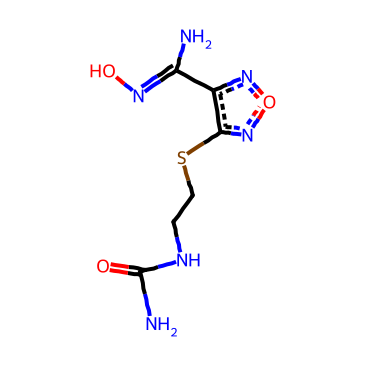 NC(=O)NCCSc1nonc1/C(N)=N/O